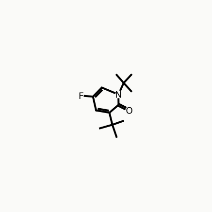 CC(C)(C)c1cc(F)cn(C(C)(C)C)c1=O